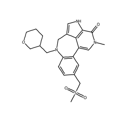 Cn1cc2c3c(c[nH]c3c1=O)CN(CC1CCCOC1)c1ccc(CS(C)(=O)=O)cc1-2